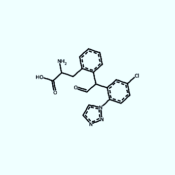 NC(Cc1ccccc1C(C=O)c1cc(Cl)ccc1-n1ccnn1)C(=O)O